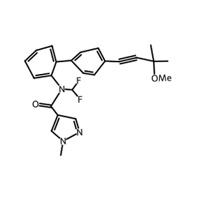 COC(C)(C)C#Cc1ccc(-c2ccccc2N(C(=O)c2cnn(C)c2)C(F)F)cc1